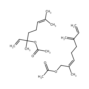 C=CC(=C)CCC=C(C)COC(C)=O.C=CC(C)(CCC=C(C)C)OC(C)=O